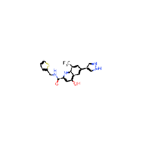 O=C(NCc1cccs1)c1cc(O)c2cc(-c3cn[nH]c3)cc(C(F)(F)F)c2n1